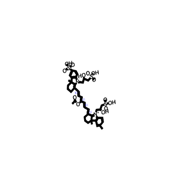 CC(=O)OC(=C\C=C\C1=C2N(CC(O)CS(=O)(=O)O)c3ccc(S(=O)(=O)O)cc3C2(C)CCC1)/C=C/C=C1\CCCC2(C)C1=[N+](CC(O)CS(=O)(=O)O)c1ccc(C)cc12